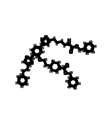 O=C(NCCCCc1cn(-c2ccc(-c3nc(CCc4ccccc4)cs3)c(OCCC3CCN(C(=O)OCc4ccccc4)CC3)c2)nn1)OCc1ccccc1